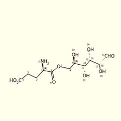 N[C@H](CCC(=O)O)C(=O)OC[C@@H](O)[C@@H](O)[C@H](O)[C@@H](O)C=O